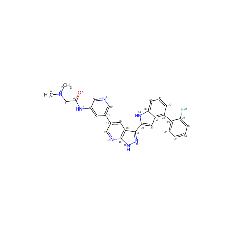 CN(C)CC(=O)Nc1cncc(-c2cnc3[nH]nc(-c4cc5c(-c6ccccc6F)cccc5[nH]4)c3c2)c1